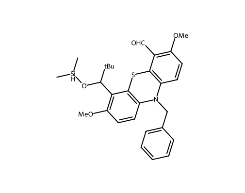 COc1ccc2c(c1C=O)Sc1c(ccc(OC)c1C(O[SiH](C)C)C(C)(C)C)N2Cc1ccccc1